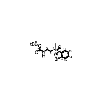 CC(C)(C)OC(=O)NCCNS(=O)(=O)c1ccccc1Br